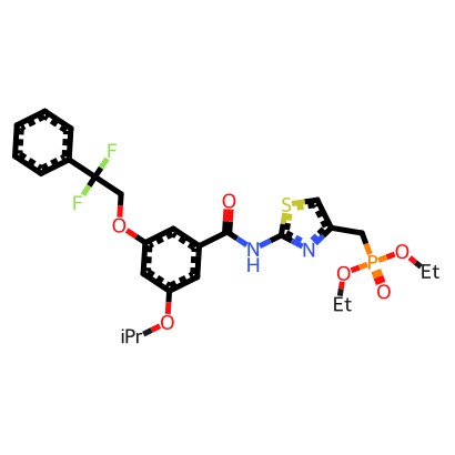 CCOP(=O)(Cc1csc(NC(=O)c2cc(OCC(F)(F)c3ccccc3)cc(OC(C)C)c2)n1)OCC